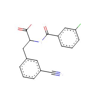 N#Cc1cccc(CC(NC(=O)c2cccc(Cl)c2)C(=O)O)c1